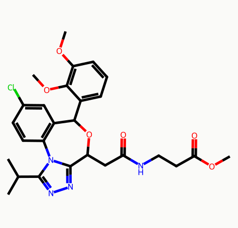 COC(=O)CCNC(=O)CC1OC(c2cccc(OC)c2OC)c2cc(Cl)ccc2-n2c(C(C)C)nnc21